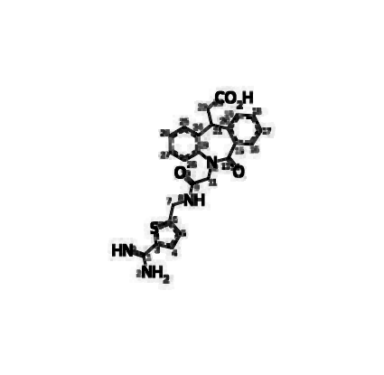 N=C(N)c1ccc(CNC(=O)CN2C(=O)c3ccccc3C(CC(=O)O)c3ccccc32)s1